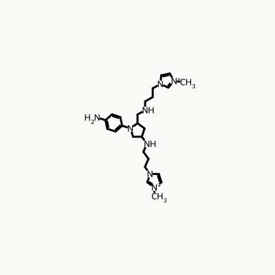 C[n+]1ccn(CCCNCC2CC(NCCCn3cc[n+](C)c3)CN2c2ccc(N)cc2)c1